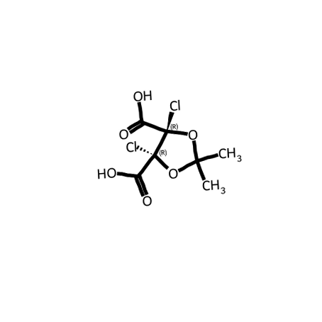 CC1(C)O[C@@](Cl)(C(=O)O)[C@](Cl)(C(=O)O)O1